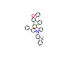 CC1(C)c2ccccc2-c2ccc(N(C3=CC=C(c4ccccc4)CC3)c3ccccc3-c3c#ccc4c5ccc6oc7ccccc7c6c5c5ccccc5c34)cc21